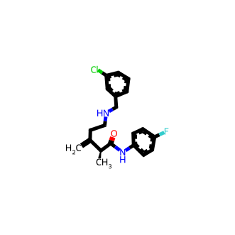 C=C(CCNCc1cccc(Cl)c1)[C@H](C)C(=O)Nc1ccc(F)cc1